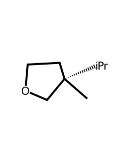 CC(C)[C@@]1(C)CCOC1